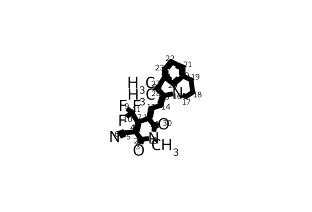 CN1C(=O)C(C#N)=C(C(F)(F)F)/C(=C/C=C2/N3CCCc4cccc(c43)C2(C)C)C1=O